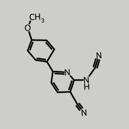 COc1ccc(-c2ccc(C#N)c(NC#N)n2)cc1